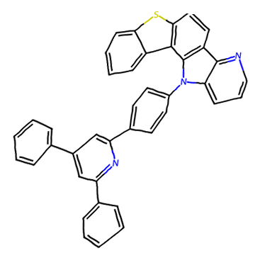 c1ccc(-c2cc(-c3ccccc3)nc(-c3ccc(-n4c5cccnc5c5ccc6sc7ccccc7c6c54)cc3)c2)cc1